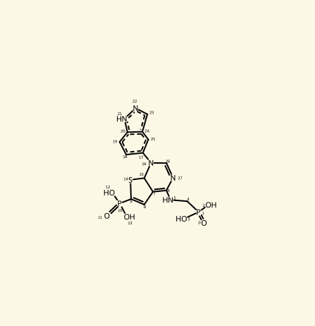 O=P(O)(O)CNC1=C2C=C(P(=O)(O)O)SC2N(c2ccc3[nH]ncc3c2)C=N1